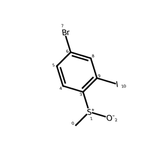 C[S+]([O-])c1ccc(Br)cc1I